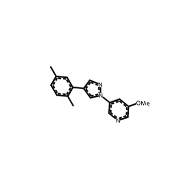 COc1cncc(-n2cc(-c3cc(C)ccc3C)cn2)c1